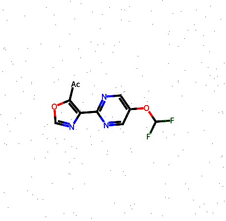 CC(=O)c1ocnc1-c1ncc(OC(F)F)cn1